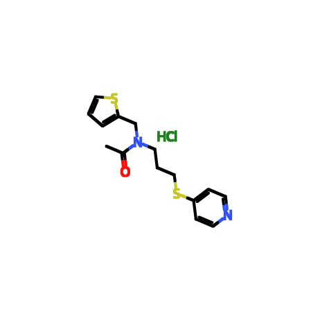 CC(=O)N(CCCSc1ccncc1)Cc1cccs1.Cl